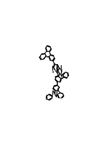 c1ccc(-n2c3ccccc3c3cc(-c4ccc5c(c4)c4ccccc4n5-c4ncc(-c5ccc6c7ccccc7c7ccccc7c6c5)cn4)ccc32)cc1